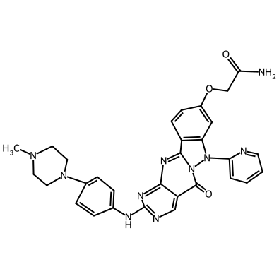 CN1CCN(c2ccc(Nc3ncc4c(=O)n5c(nc4n3)c3ccc(OCC(N)=O)cc3n5-c3ccccn3)cc2)CC1